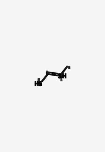 C/[SiH]=C/S